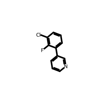 Fc1c(Cl)cccc1-c1cccnc1